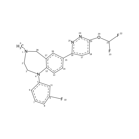 CN1CCN(c2cccc(F)c2)c2ccc(-c3ccc(OC(F)F)nn3)cc2C1